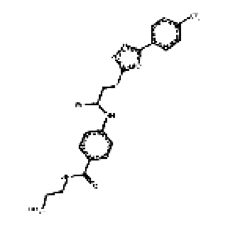 CCC(C)C(COc1nnc(-c2ccc(C(F)(F)F)cc2)o1)Nc1ccc(C(=O)NCCC(=O)O)cc1